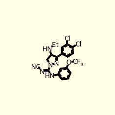 CCNC1CN(/C(=N\C#N)Nc2cccc(OC(F)(F)F)c2)N=C1c1ccc(Cl)c(Cl)c1